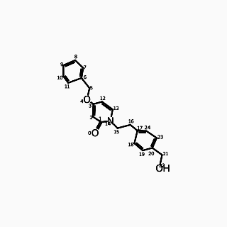 O=c1cc(OCc2ccccc2)ccn1CCc1ccc(CO)cc1